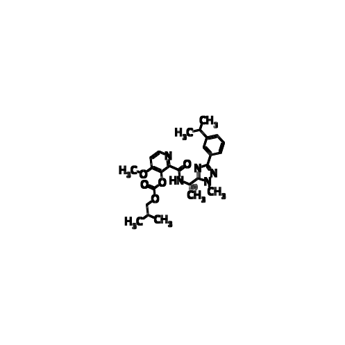 COc1ccnc(C(=O)N[C@@H](C)c2nc(-c3cccc(C(C)C)c3)nn2C)c1OC(=O)OCC(C)C